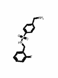 NCc1ccc(S(=O)(=O)NCc2ccccc2F)cc1